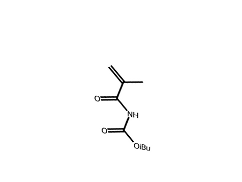 C=C(C)C(=O)NC(=O)OCC(C)C